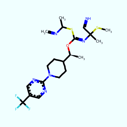 C=NC(C)S/C(=N\C(C)(C=N)SC)O[C@@H](C)C1CCN(c2ncc(C(F)(F)F)cn2)CC1